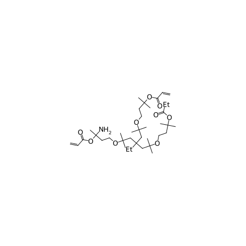 C=CC(=O)OC(C)(C)CCOC(C)(C)CC(CC)(CC(C)(C)OCCC(C)(C)OC(=O)CC)CC(C)(C)OCCC(C)(N)OC(=O)C=C